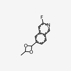 CC1OC(c2ccc3cnc(F)cc3c2)O1